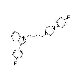 Fc1ccc(-c2cn(CCCCN3CCN(c4ccc(F)cc4)CC3)c3ccccc23)cc1